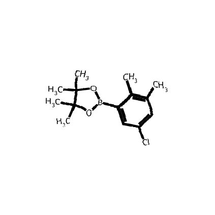 Cc1cc(Cl)cc(B2OC(C)(C)C(C)(C)O2)c1C